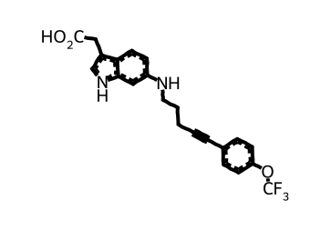 O=C(O)Cc1c[nH]c2cc(NCCCC#Cc3ccc(OC(F)(F)F)cc3)ccc12